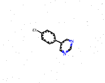 [CH2]Cc1ccc(-c2cncnc2)cc1